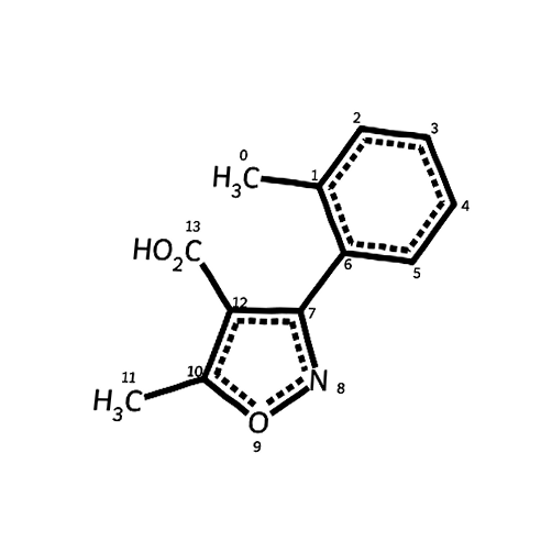 Cc1ccccc1-c1noc(C)c1C(=O)O